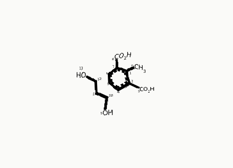 Cc1c(C(=O)O)cccc1C(=O)O.OCCCO